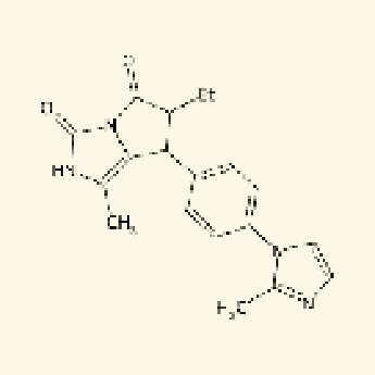 CCC1C(=O)n2c(c(C)[nH]c2=O)C1c1ccc(-n2ccnc2C)cc1